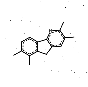 Cc1cc2c(nc1C)-c1ccc(C)c(C)c1C2